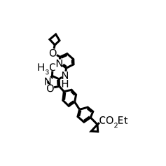 CCOC(=O)C1(c2ccc(-c3ccc(-c4onc(C)c4Nc4cccc(OC5CCC5)n4)cc3)cc2)CC1